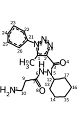 Cc1c(C(=O)N(NC(=O)CCN)C2CCCCC2)nnn1-c1ccccc1